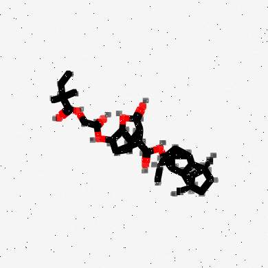 CCC(C)(C)C(=O)OCC(=O)OC1C2CC3C1OC(=O)C3C2C(=O)OC1(CC)CC2CC1C1C2[C@H]2CC[C@H]1C2